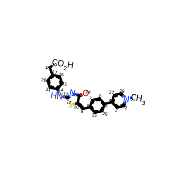 C[n+]1ccc(-c2ccc(C=C3SC(Nc4ccc(CC(=O)O)cc4)=NC3=O)cc2)cc1